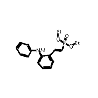 CCOP(=O)(C=Cc1ccccc1Nc1ccccc1)OCC